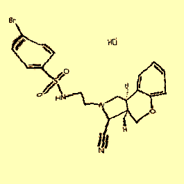 Cl.N#CC1[C@H]2COc3ccccc3[C@@H]2CN1CCNS(=O)(=O)c1ccc(Br)cc1